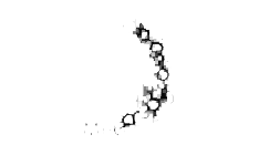 COc1ccc(COc2c(F)cc(C(=O)NC[C@H]3CC[C@H](n4cc5ccc(-c6cnc(Cl)nc6)cc5n4)CC3)c(F)c2F)cc1